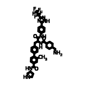 Cc1cc(C(=O)N[C@@H]2CCNC2)ccc1-c1ccc(CC(NC(=O)C2CCC(CN)CC2)C(=O)Nc2ccc(-c3nc(C(F)(F)C(F)(F)F)n[nH]3)cc2)cc1